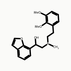 COc1cccc(CCN(C)CC(O)c2cccc3ccoc23)c1OC